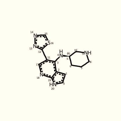 c1cc2c(N[C@@H]3CCCNC3)c(-c3nncs3)cnc2[nH]1